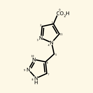 O=C(O)c1cnn(Cc2c[nH]nn2)c1